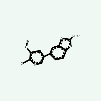 CCOc1cc(-c2ccc3nc(NC(C)=O)sc3c2)cnc1Cl